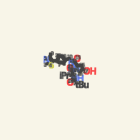 Cc1ncsc1-c1ccc(CNC(=O)C2CC(O)CN2C(=O)C(NC(=O)C(C)(C)C)C(C)C)cc1